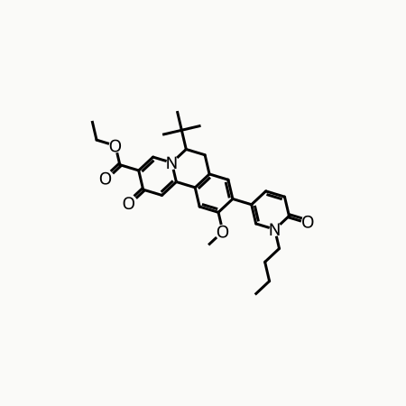 CCCCn1cc(-c2cc3c(cc2OC)-c2cc(=O)c(C(=O)OCC)cn2C(C(C)(C)C)C3)ccc1=O